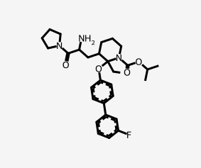 CCC1(Oc2ccc(-c3cccc(F)c3)cc2)C(CC(N)C(=O)N2CCCC2)CCCN1C(=O)OC(C)C